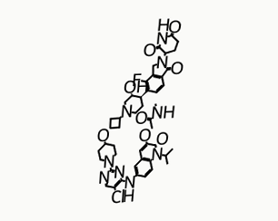 CNC(=O)COc1cc2cc(Nc3nc(N4CCC(OC5CC(N6CC[C@H](c7ccc8c(c7F)CN(C7CCC(=O)NC7=O)C8=O)[C@@H](O)C6)C5)CC4)ncc3Cl)ccc2n(C(C)C)c1=O